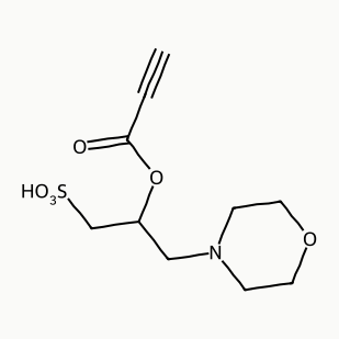 C#CC(=O)OC(CN1CCOCC1)CS(=O)(=O)O